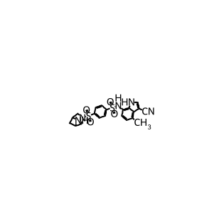 Cc1ccc(NS(=O)(=O)c2ccc(S(=O)(=O)N3CC4CC(C3)N4)cc2)c2[nH]cc(C#N)c12